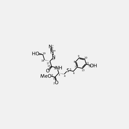 COC(=O)[C@@H](CSCc1cccc(O)c1)NC(=O)[C@H](CCO)N=[N+]=[N-]